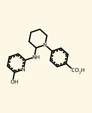 O=C(O)c1ccc(N2CCCCC2Nc2cccc(O)n2)cc1